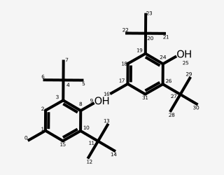 Cc1cc(C(C)(C)C)c(O)c(C(C)(C)C)c1.Cc1cc(C(C)(C)C)c(O)c(C(C)(C)C)c1